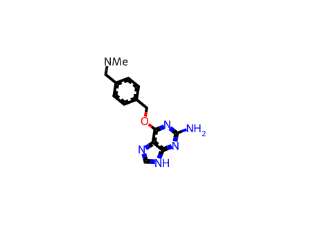 CNCc1ccc(COc2nc(N)nc3[nH]cnc23)cc1